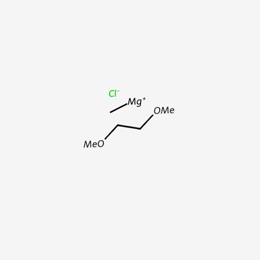 COCCOC.[CH3][Mg+].[Cl-]